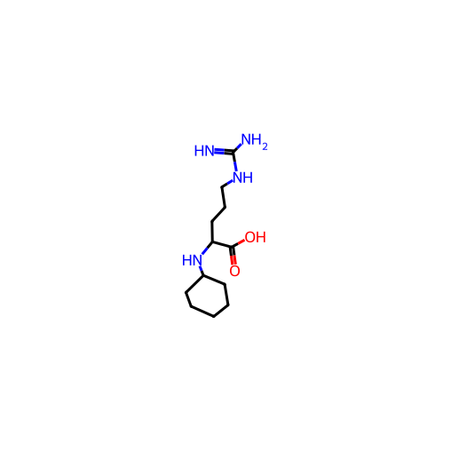 N=C(N)NCCCC(NC1CCCCC1)C(=O)O